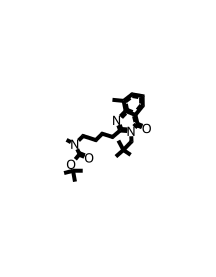 Cc1cccc2c(=O)n(CC(C)(C)C)c(CCCCN(C)C(=O)OC(C)(C)C)nc12